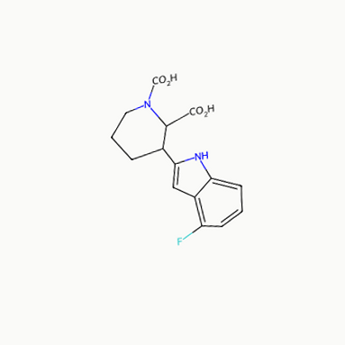 O=C(O)C1C(c2cc3c(F)cccc3[nH]2)CCCN1C(=O)O